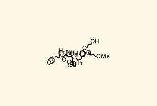 COCCCOc1cc(C[C@H](C[C@H](C(=O)OC(C)(C)C)[C@@H](O)C[C@@](N)(C(=O)NCCN2CCOCC2)C(C)C)C(C)C)ccc1OCCCO